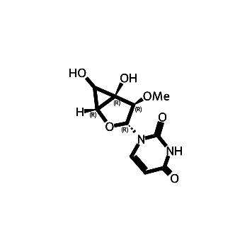 CO[C@H]1[C@H](n2ccc(=O)[nH]c2=O)O[C@@H]2C(O)[C@@]21O